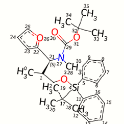 CC(CO[Si](c1ccccc1)(c1ccccc1)C(C)(C)C)[C@@H](c1ccco1)N(C)C(=O)OC(C)(C)C